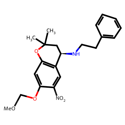 COCOc1cc2c(cc1[N+](=O)[O-])[C@H](NCCc1ccccc1)CC(C)(C)O2